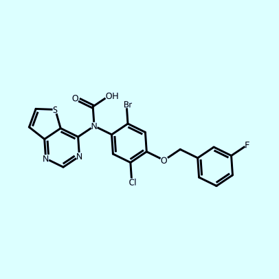 O=C(O)N(c1cc(Cl)c(OCc2cccc(F)c2)cc1Br)c1ncnc2ccsc12